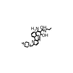 CCCNC(=O)C1=C(N)c2cccc(-c3nc(CN4CCN(C)CC4)ccc3F)c2NC1O